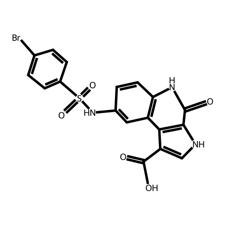 O=C(O)c1c[nH]c2c(=O)[nH]c3ccc(NS(=O)(=O)c4ccc(Br)cc4)cc3c12